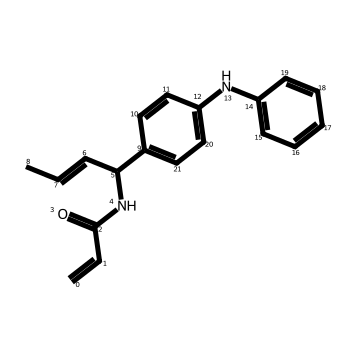 C=CC(=O)NC(/C=C/C)c1ccc(Nc2ccccc2)cc1